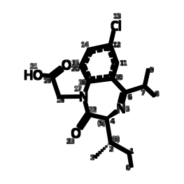 CC[C@H](C)[C@@H]1N=C(C(C)C)c2cc(Cl)ccc2N(CC(=O)O)C1=O